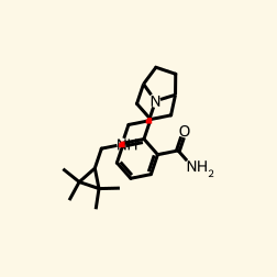 CC1(C)C(CNCCN2C3CCC2CC(c2ccccc2C(N)=O)C3)C1(C)C